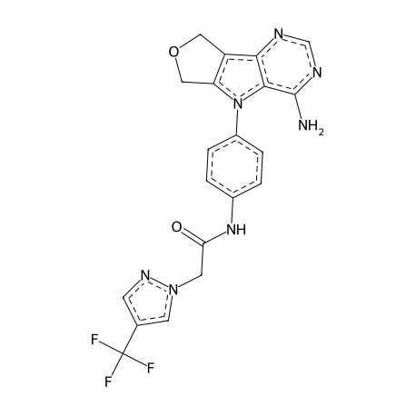 Nc1ncnc2c3c(n(-c4ccc(NC(=O)Cn5cc(C(F)(F)F)cn5)cc4)c12)COC3